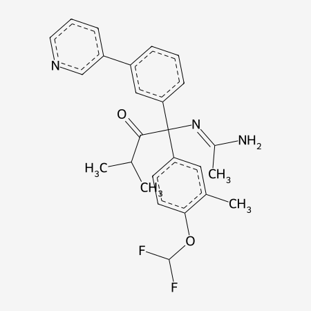 C/C(N)=N\C(C(=O)C(C)C)(c1cccc(-c2cccnc2)c1)c1ccc(OC(F)F)c(C)c1